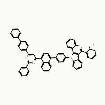 CC1CC=CC=C1c1nc2ccccc2c2c1c1ccccc1n2-c1ccc(-c2ccc(-c3cc(-c4ccc(-c5ccccc5)cc4)nc(-c4ccccc4)n3)c3ccccc23)cc1